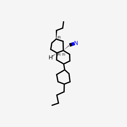 CCCCC1CCC(C2CC[C@]3(C#N)C[C@H](CCC)CC[C@@H]3C2)CC1